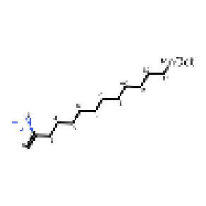 C=C(N)CCCCCCCCCCCCCCCCCCC